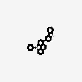 c1ccc(-n2c3cccc4ccc5c(-c6ccc7oc8ccccc8c7c6)ccc2c5c43)cc1